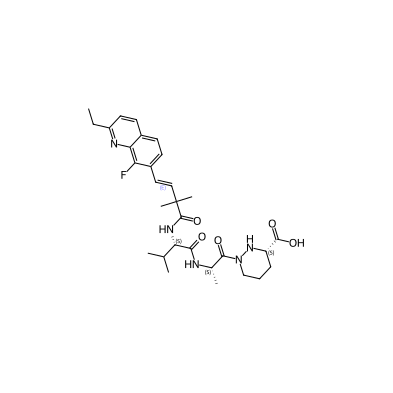 CCc1ccc2ccc(/C=C/C(C)(C)C(=O)N[C@H](C(=O)N[C@@H](C)C(=O)N3CCC[C@@H](C(=O)O)N3)C(C)C)c(F)c2n1